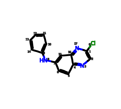 Clc1cnc2ccc(Nc3ccccc3)cc2n1